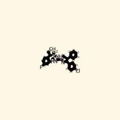 C=CC(c1ccc(F)cc1)S(=O)(=O)NC(=N)N1CC(c2ccccc2)C(c2ccc(Cl)cc2)=N1